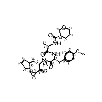 COc1ccc(C[C@H](NC(=O)[C@@H](C)NC(=O)[C@@H]2CCCOC2)C(=O)N[C@@H](CC2CCCC2)C(=O)C2CO2)cc1